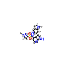 CN1CCc2ccc(-c3c[nH]c4nccc(NS(=O)(=O)c5ccn(C)n5)c34)cc21